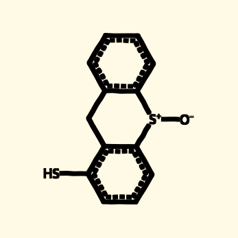 [O-][S+]1c2ccccc2Cc2c(S)cccc21